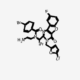 CC(C)[C@H](c1nc2c(oc3ccc(F)cc32)c(=O)n1Cc1ccc(Cl)o1)N(CCN)C(=O)c1ccc(Br)cc1